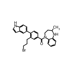 CC1CCN(C(=O)c2ccc(-c3ccc4[nH]ccc4c3)c(CCCBr)c2)c2ccccc2N1